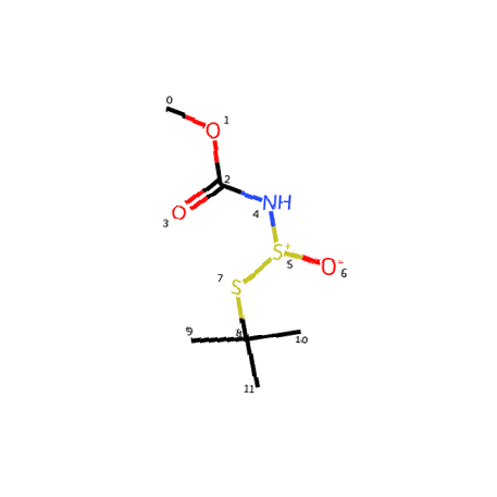 COC(=O)N[S+]([O-])SC(C)(C)C